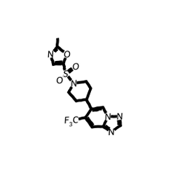 Cc1ncc(S(=O)(=O)N2CCC(c3cn4ncnc4cc3C(F)(F)F)CC2)o1